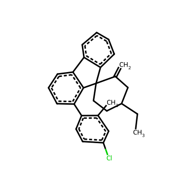 C=C1CC(CC)CCC12c1ccccc1-c1cccc(-c3ccc(Cl)cc3C)c12